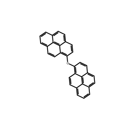 c1cc2ccc3ccc(Oc4ccc5ccc6cccc7ccc4c5c67)c4ccc(c1)c2c34